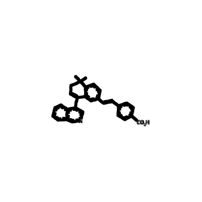 CC1(C)CC=C(c2cncc3ccccc23)c2cc(/C=C/c3ccc(C(=O)O)cc3)ccc21